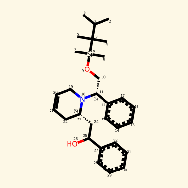 CC(C)C(C)(C)[Si](C)(C)OC[C@H](c1ccccc1)N1CC=CC[C@H]1CC(O)c1ccccc1